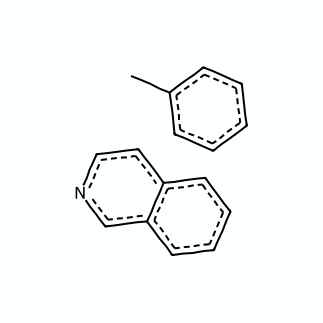 Cc1ccccc1.c1ccc2cnccc2c1